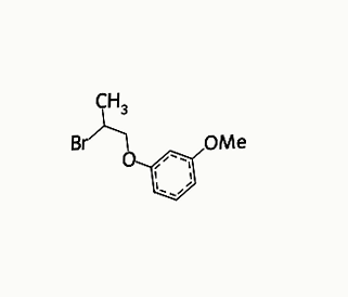 COc1cccc(OCC(C)Br)c1